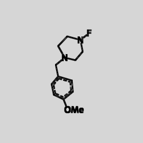 COc1ccc(CN2CCN(F)CC2)cc1